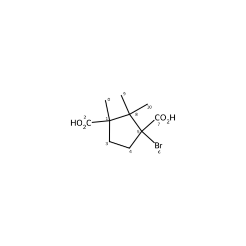 CC1(C(=O)O)CCC(Br)(C(=O)O)C1(C)C